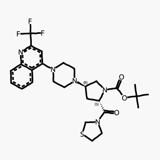 CC(C)(C)OC(=O)N1C[C@H](N2CCN(c3cc(C(F)(F)F)nc4ccccc34)CC2)C[C@H]1C(=O)N1CCSC1